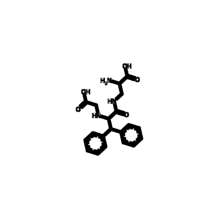 NC(CNC(=O)C(NCC(=O)O)C(c1ccccc1)c1ccccc1)C(=O)O